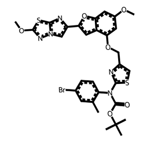 COc1cc(OCc2csc(N(C(=O)OC(C)(C)C)c3ccc(Br)cc3C)n2)c2cc(-c3cn4nc(OC)sc4n3)oc2c1